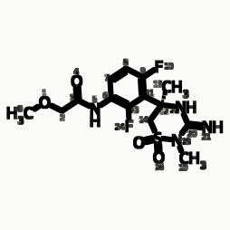 COCC(=O)Nc1ccc(F)c([C@]2(C)CS(=O)(=O)N(C)C(=N)N2)c1F